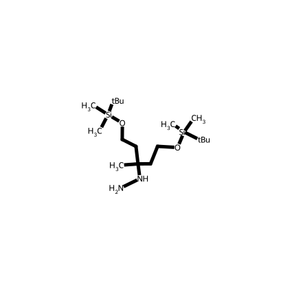 CC(CCO[Si](C)(C)C(C)(C)C)(CCO[Si](C)(C)C(C)(C)C)NN